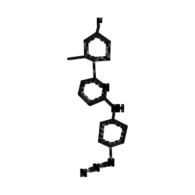 Cc1cc(F)ccc1-c1cccc(Nc2ccc(N=[N+]=[N-])cc2)n1